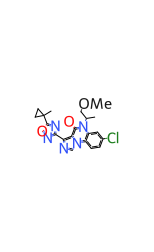 COCC(C)n1c(=O)c2c(-c3noc(C4(C)CC4)n3)ncn2c2ccc(Cl)cc21